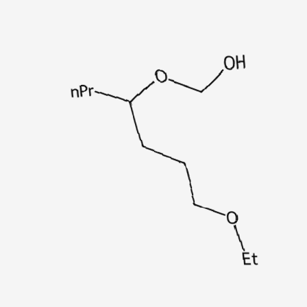 [CH2]CCC(CCCOCC)OCO